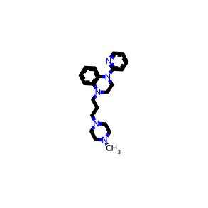 CN1CCN(CCCN2CCN(c3ccccn3)c3ccccc32)CC1